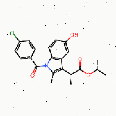 Cc1c([C@H](C)C(=O)OC(C)C)c2cc(O)ccc2n1C(=O)c1ccc(Cl)cc1